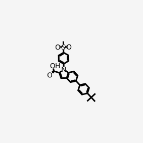 CC(C)(C)c1ccc(-c2ccc3c(c2)cc(C(=O)O)n3-c2ccc(S(C)(=O)=O)cc2)cc1